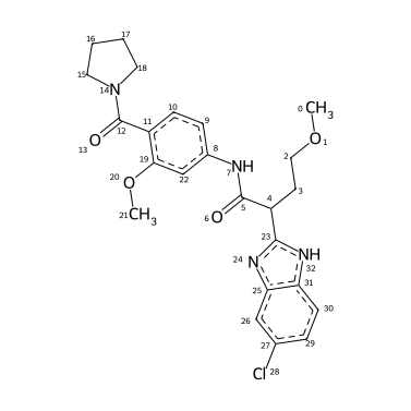 COCCC(C(=O)Nc1ccc(C(=O)N2CCCC2)c(OC)c1)c1nc2cc(Cl)ccc2[nH]1